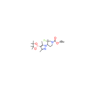 Cc1nn(C2CCN(C(=O)OC(C)(C)C)C[C@@H]2F)c(C)c1B1OC(C)(C)C(C)(C)O1